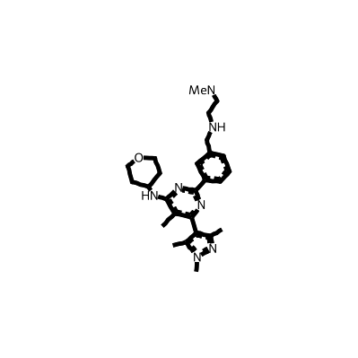 CNCCNCc1cccc(-c2nc(NC3CCOCC3)c(C)c(-c3c(C)nn(C)c3C)n2)c1